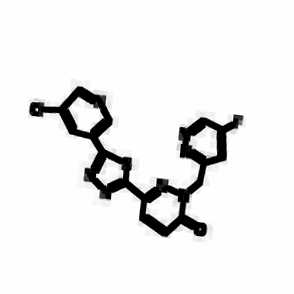 O=c1ccc(-c2nnc(-c3cncc(Cl)c3)s2)nn1Cc1cc(F)cnn1